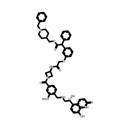 COc1cc(C(=O)N2CC(NC(=O)COc3cccc(C(C(=O)OCC4CCN(Cc5ccccc5)CC4)c4ccccc4)c3)C2)ccc1CNC[C@H](O)c1ccc(O)c2[nH]c(=O)ccc12